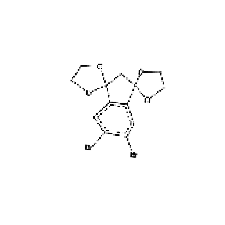 Brc1cc2c(cc1Br)C1(CC23OCCO3)OCCO1